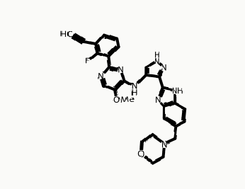 C#Cc1cccc(-c2ncc(OC)c(Nc3c[nH]nc3-c3nc4cc(CN5CCOCC5)ccc4[nH]3)n2)c1F